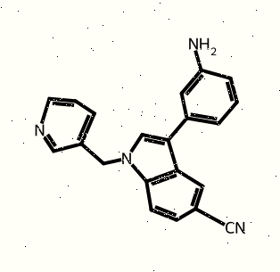 N#Cc1ccc2c(c1)c(-c1cccc(N)c1)cn2Cc1cccnc1